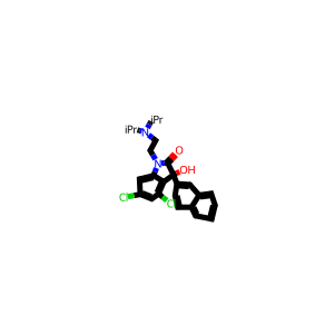 CC(C)N(CCN1C(=O)C(O)(c2ccc3ccccc3c2)c2c(Cl)cc(Cl)cc21)C(C)C